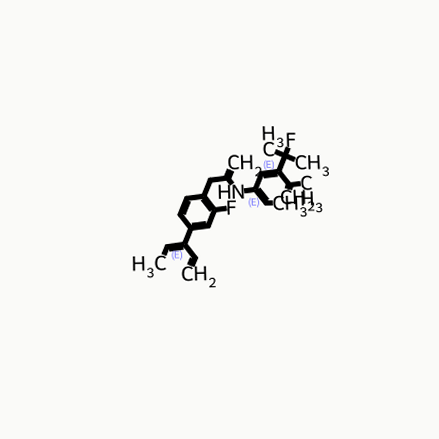 C=C/C(=C\C)c1ccc(CC(=C)NC(=C/C)/C=C(\C(=C)C)C(C)(C)F)c(F)c1